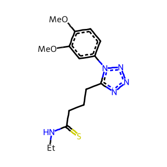 CCNC(=S)CCCc1nnnn1-c1ccc(OC)c(OC)c1